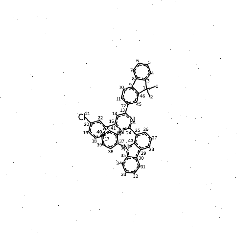 CC1(C)c2ccccc2-c2ccc(-c3cc(-c4cccc(Cl)c4)nc(-c4cccc5c6ccccc6n(-c6ccccc6)c45)n3)cc21